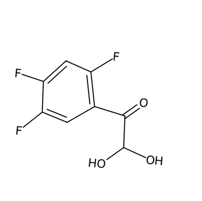 O=C(c1cc(F)c(F)cc1F)C(O)O